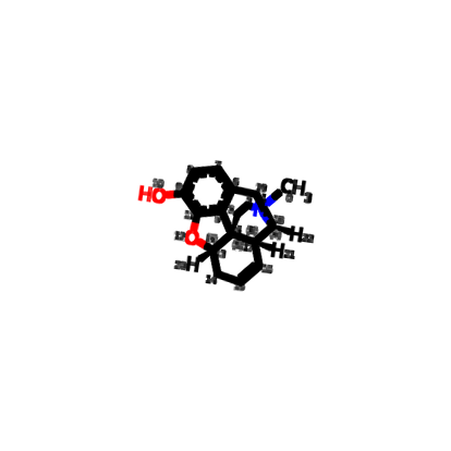 CN1CC[C@]23c4c5ccc(O)c4O[C@H]2CC=C[C@H]3[C@H]1C5